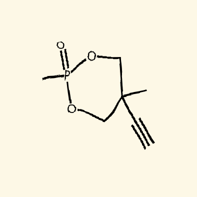 C#CC1(C)COP(C)(=O)OC1